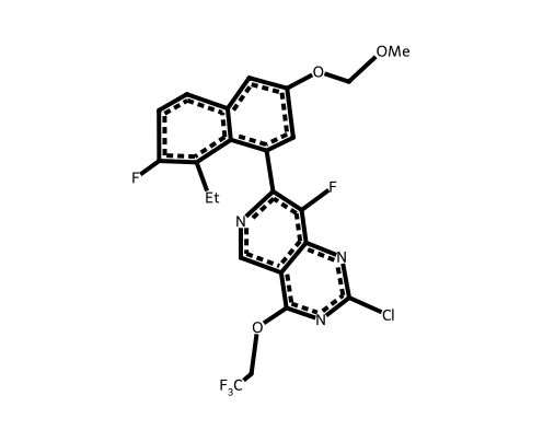 CCc1c(F)ccc2cc(OCOC)cc(-c3ncc4c(OCC(F)(F)F)nc(Cl)nc4c3F)c12